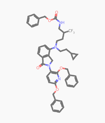 O=C(NCC(CCN(CCC1CC1)c1cccc2c1CN(c1ccc(OCc3ccccc3)nc1OCc1ccccc1)C2=O)C(F)(F)F)OCc1ccccc1